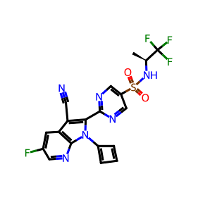 C[C@H](NS(=O)(=O)c1cnc(-c2c(C#N)c3cc(F)cnc3n2C2=CC=C2)nc1)C(F)(F)F